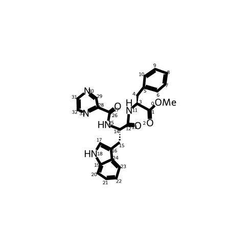 COC(=O)[C@H](Cc1ccccc1)NC(=O)[C@H](Cc1c[nH]c2ccccc12)NC(=O)c1cnccn1